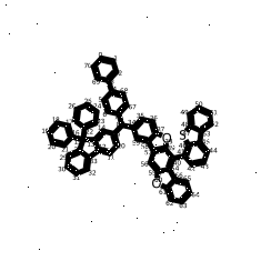 c1ccc(-c2ccc(C(c3ccc4c(c3)C(c3ccccc3)(c3ccccc3)c3ccccc3-4)c3ccc4oc5c(-c6cccc7c6sc6ccccc67)c6c(cc5c4c3)oc3ccccc36)cc2)cc1